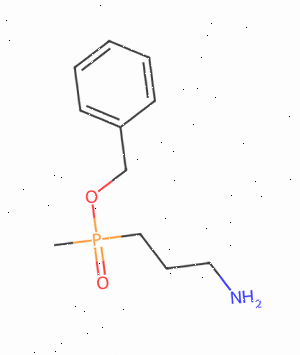 CP(=O)(CCCN)OCc1ccccc1